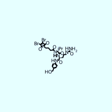 CC(C)[C@H](NC(=O)CCCN1C(=O)C(Br)=C(Br)C1=O)C(=O)N[C@@H](CCCNC(N)=O)C(=O)Nc1ccc(CO)cc1